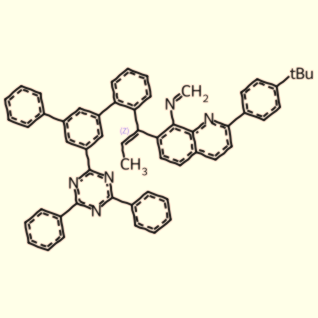 C=Nc1c(/C(=C\C)c2ccccc2-c2cc(-c3ccccc3)cc(-c3nc(-c4ccccc4)nc(-c4ccccc4)n3)c2)ccc2ccc(-c3ccc(C(C)(C)C)cc3)nc12